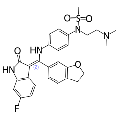 CN(C)CCN(c1ccc(N/C(=C2\C(=O)Nc3cc(F)ccc32)c2ccc3c(c2)OCC3)cc1)S(C)(=O)=O